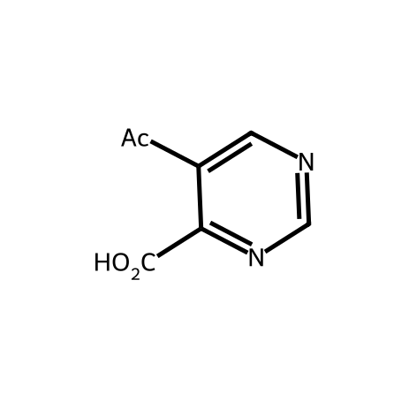 CC(=O)c1cncnc1C(=O)O